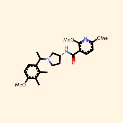 COc1ccc(C(=O)N[C@@H]2CCN(C(C)c3ccc(OC)c(C)c3C)C2)c(OC)n1